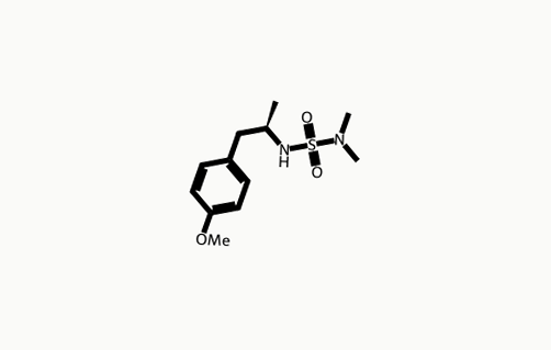 COc1ccc(C[C@@H](C)NS(=O)(=O)N(C)C)cc1